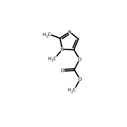 COC(=O)Oc1cnc(C)n1C